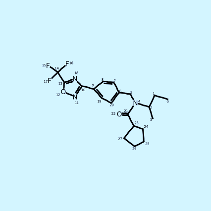 CCC(C)N(Cc1ccc(-c2noc(C(F)(F)F)n2)cc1)C(=O)C1CCCC1